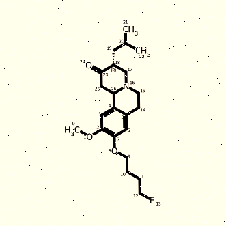 COc1cc2c(cc1OCCCCF)CCN1C[C@@H](CC(C)C)C(=O)CC21